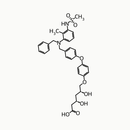 Cc1c(NS(C)(=O)=O)cccc1N(Cc1ccccc1)Cc1ccc(Oc2ccc(OC[C@@H](O)C[C@@H](O)CC(=O)O)cc2)cc1